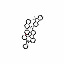 CC1(C)c2ccccc2-c2ccc(N(c3ccc4c(c3)C3(c5ccccc5)c5ccccc5N(c5ccccc5)c5cccc-4c53)c3cccc4ccccc34)cc21